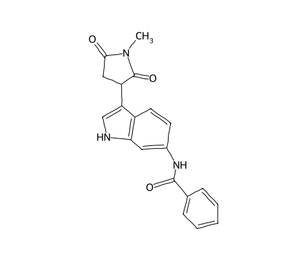 CN1C(=O)CC(c2c[nH]c3cc(NC(=O)c4ccccc4)ccc23)C1=O